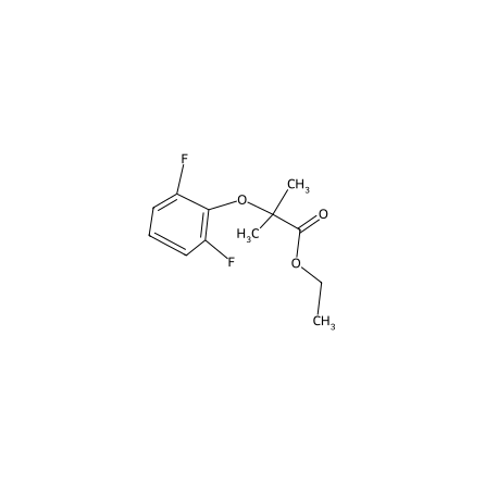 CCOC(=O)C(C)(C)Oc1c(F)cccc1F